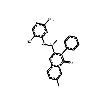 C[C@H](Nc1nc(N)ncc1C#N)c1cc2ccc(F)cn2c(=O)c1-c1ccccc1